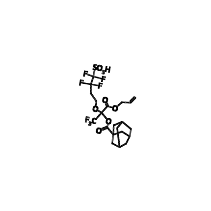 C=CCOC(=O)C(OCCC(F)(F)C(F)(F)S(=O)(=O)O)(OC(=O)C12CC3CC(CC(C3)C1)C2)C(F)(F)F